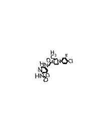 C[C@@H]1CN(c2ccc(Cl)c(F)c2)CCN1C(=O)CNc1cnc2[nH]c(=O)oc2c1